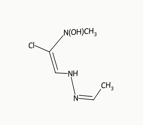 C/C=N\N/C=C(/Cl)N(C)O